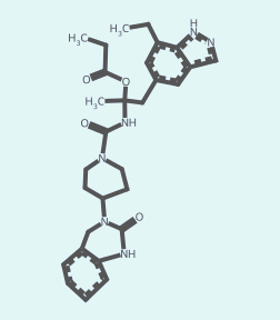 CCC(=O)OC(C)(Cc1cc(CC)c2[nH]ncc2c1)NC(=O)N1CCC(N2Cc3ccccc3NC2=O)CC1